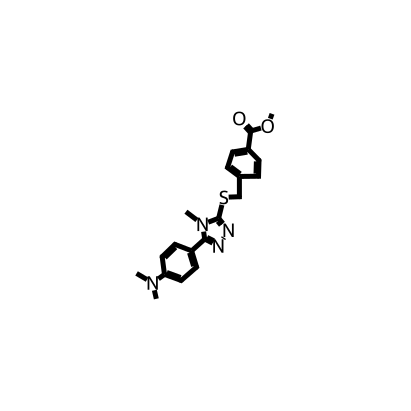 COC(=O)c1ccc(CSc2nnc(-c3ccc(N(C)C)cc3)n2C)cc1